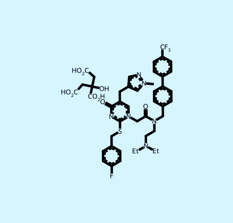 CCN(CC)CCN(Cc1ccc(-c2ccc(C(F)(F)F)cc2)cc1)C(=O)Cn1cc(Cc2cnn(C)c2)c(=O)nc1SCc1ccc(F)cc1.O=C(O)CC(O)(CC(=O)O)C(=O)O